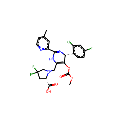 COC(=O)OC1=C(CN2CC(F)(F)C[C@H]2C(=O)O)NC(c2cc(C)ccn2)=N[C@@H]1c1ccc(F)cc1Cl